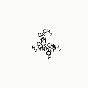 CCOC(=O)c1cc(C(=O)c2sc(N(c3ccc(F)cc3)[C@H](C)C(N)=O)nc2N)on1